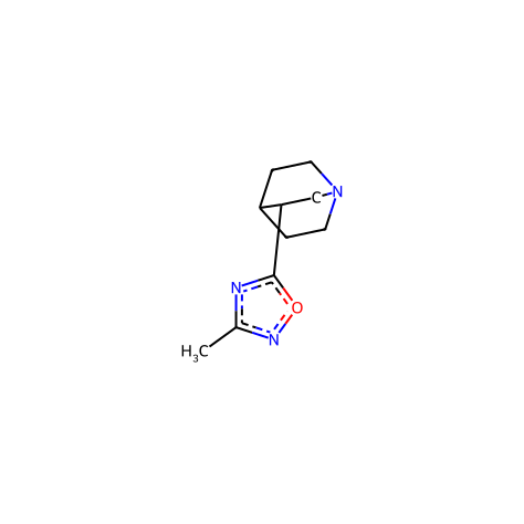 Cc1noc(C2CN3CCC2CC3)n1